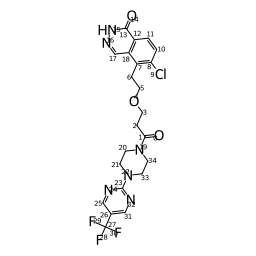 O=C(CCOCCc1c(Cl)ccc2c(=O)[nH]ncc12)N1CCN(c2ncc(C(F)(F)F)cn2)CC1